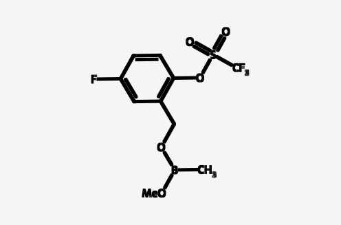 COB(C)OCc1cc(F)ccc1OS(=O)(=O)C(F)(F)F